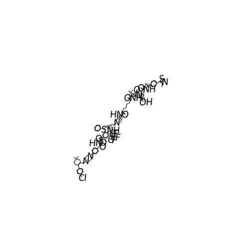 Cc1ncsc1-c1ccc([C@H](C)NC(=O)[C@@H]2C[C@@H](O)CN2C(=O)[C@@H](NC(=O)CCCCC(=O)N[C@H]2CCN(CC[C@H](CSc3ccccc3)Nc3ccc(S(=O)(=O)NC(=O)c4ccc(N5CCN(CC6=C(c7ccc(Cl)cc7)CCC(C)(C)C6)CC5)cc4)cc3S(=O)(=O)C(F)(F)F)C2)C(C)(C)C)cc1